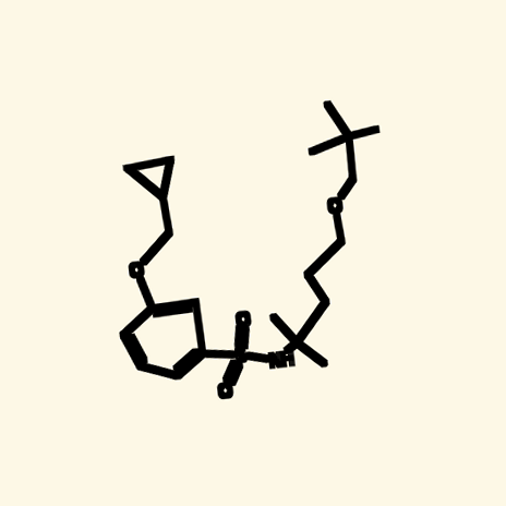 CC(C)(C)COCCCC(C)(C)NS(=O)(=O)c1cccc(OCC2CC2)c1